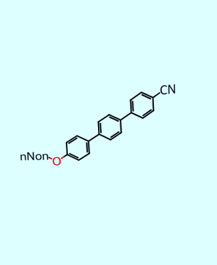 CCCCCCCCCOc1ccc(-c2ccc(-c3ccc(C#N)cc3)cc2)cc1